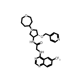 O=C(CNc1ncnc2ccc(C(F)(F)F)cc12)NC1CN(C2CCCOCC2)C[C@@H]1OCc1ccncc1